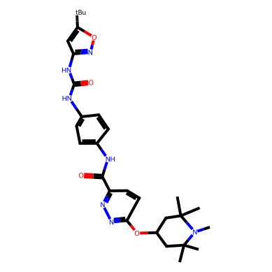 CN1C(C)(C)CC(Oc2ccc(C(=O)Nc3ccc(NC(=O)Nc4cc(C(C)(C)C)on4)cc3)nn2)CC1(C)C